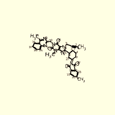 CC#CCn1c(C2CCC[C@H](N3C(=O)c4ccc(C)cc4C3=O)C2)nc2c1c(=O)n(Cc1nc(C)c3ccccc3n1)c(=O)n2C